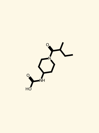 CCC(C)C(=O)N1CCC(NC(=O)O)CC1